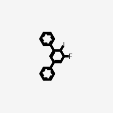 FC1C=C(c2ccccc2)C=C(c2ccccc2)C1I